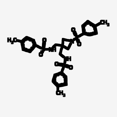 Cc1ccc(S(=O)(=O)NCC2(CNS(=O)(=O)c3ccc(C)cc3)CN(S(=O)(=O)c3ccc(C)cc3)C2)cc1